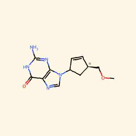 COC[C@@H]1C=CC(n2cnc3c(=O)[nH]c(N)nc32)C1